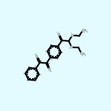 CCOC(OCC)C(=O)c1ccc(C(=O)C(=O)c2ccccc2)cc1